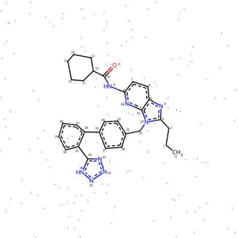 CCCc1nc2ccc(NC(=O)C3CCCCC3)nc2n1Cc1ccc(-c2ccccc2-c2nnn[nH]2)cc1